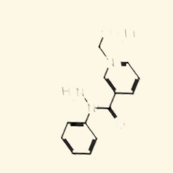 CCOC(=O)C[n+]1cccc(C(=O)N(N)c2ccccc2)c1